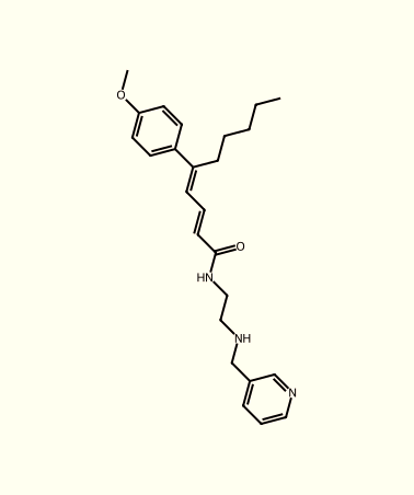 CCCCC/C(=C\C=C\C(=O)NCCNCc1cccnc1)c1ccc(OC)cc1